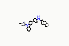 C=C/C=C\C(=C/C)n1c2ccccc2c2cc(-c3ccc(Nc4ccc5c(c4)CC4C=CC=CC54)cc3)ccc21